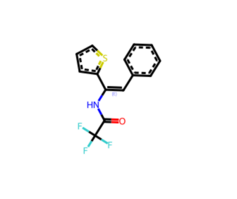 O=C(N/C(=C/c1ccccc1)c1cccs1)C(F)(F)F